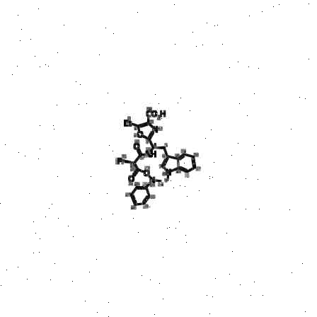 CCc1oc([C@@H](Cc2cn(C)c3ccccc23)NC(=O)[C@@H](C(=O)ON(C)c2ccccc2)C(C)C)nc1C(=O)O